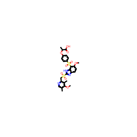 COc1ccc2nc(S(=O)(=O)Cc3ncc(C)c(OC)c3C)[nH]c2c1S(=O)(=O)c1ccc(OC(C)C(=O)O)cc1